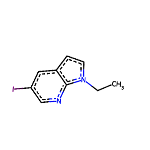 CCn1ccc2cc(I)cnc21